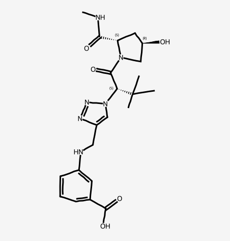 CNC(=O)[C@@H]1C[C@@H](O)CN1C(=O)[C@@H](n1cc(CNc2cccc(C(=O)O)c2)nn1)C(C)(C)C